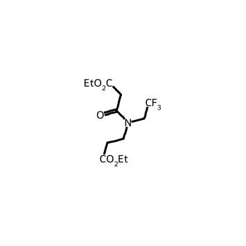 CCOC(=O)CCN(CC(F)(F)F)C(=O)CC(=O)OCC